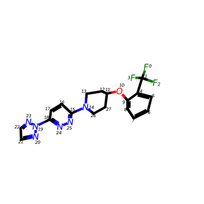 FC(F)(F)c1ccccc1OC1CCN(c2ccc(-n3nccn3)nn2)CC1